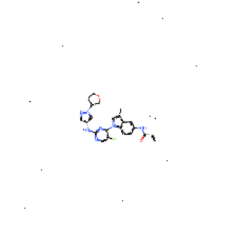 C=CC(=O)Nc1ccc2c(c1)c(C)cn2-c1nc(Nc2cnn(C3CCOC3)c2)ncc1F